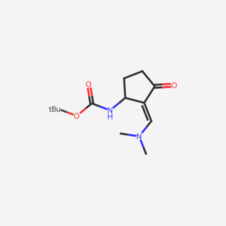 CN(C)/C=C1/C(=O)CCC1NC(=O)OC(C)(C)C